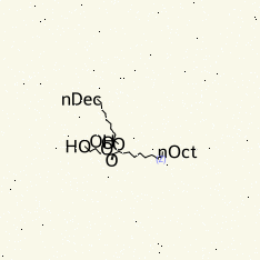 CCCCCCCC/C=C\CCCCCCC(OC(=O)CCCCCCCCCCCCCCCCC)C(=O)OCC(O)CO